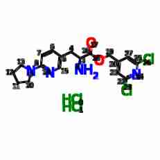 Cl.Cl.N[C@@H](Cc1ccc(N2CCCC2)nc1)C(=O)OCc1cc(Cl)nc(Cl)c1